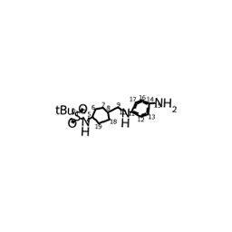 CC(C)(C)S(=O)(=O)NC1CCC(CNc2ccc(N)cc2)CC1